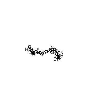 CCN(C)S(=O)(=O)Nc1ccc(F)c(Oc2ccc3ncn(C4CC5(CCN(C6COC7(CCN(c8cc9c(cc8F)c(N8CCC(=O)NC8=O)nn9C)CC7)C6)CC5)C4)c(=O)c3c2)c1C#N